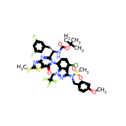 COc1ccc(CN(c2nn(CC(F)(F)F)c3c(-n4c([C@H](Cc5cc(F)cc(F)c5)NC(=O)OC(C)(C)C)nc5nc(SC)sc5c4=O)ccc(Cl)c23)S(C)(=O)=O)cc1